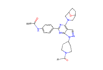 CNC(=O)Nc1ccc(-c2nc(N3CC4CCC(C3)O4)c3cnn(C4CCN(C(=O)C(C)C)CC4)c3n2)cc1